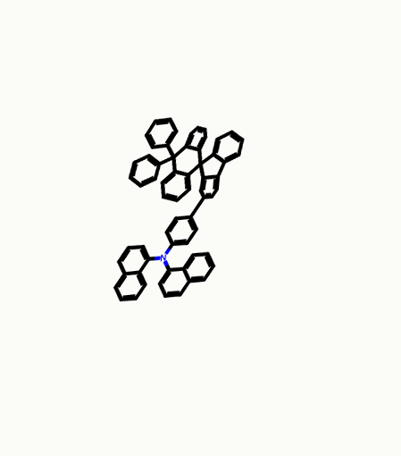 c1ccc(C2(c3ccccc3)c3ccccc3C3(c4ccccc4-c4ccc(-c5ccc(N(c6cccc7ccccc67)c6cccc7ccccc67)cc5)cc43)c3ccccc32)cc1